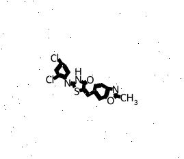 Cc1nc2ccc(C=C3SC(=Nc4ccc(Cl)cc4Cl)NC3=O)cc2o1